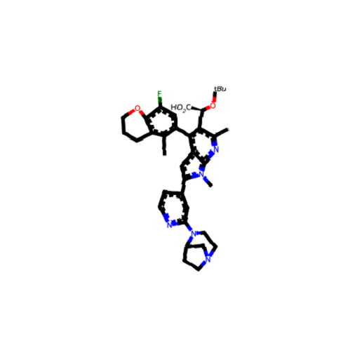 Cc1nc2c(cc(-c3ccnc(N4CCN5CCC4C5)c3)n2C)c(-c2cc(F)c3c(c2C)CCCO3)c1[C@H](OC(C)(C)C)C(=O)O